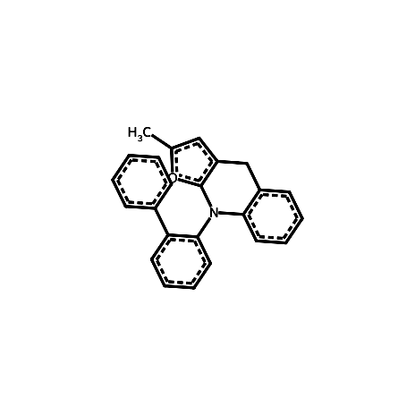 Cc1cc2c(o1)N(c1ccccc1-c1ccccc1)c1ccccc1C2